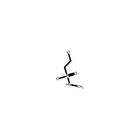 CNP(=O)(Cl)CCCl